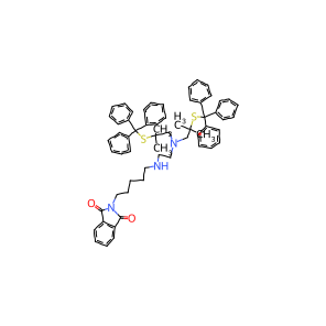 CC(C)(CN(CCNCCCCCN1C(=O)c2ccccc2C1=O)CC(C)(C)SC(c1ccccc1)(c1ccccc1)c1ccccc1)SC(c1ccccc1)(c1ccccc1)c1ccccc1